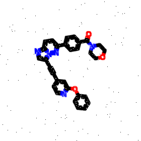 O=C(c1ccc(-c2ccc3ncc(C#Cc4ccnc(Oc5ccccc5)c4)n3n2)cc1)N1CCOCC1